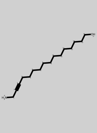 NCC#CCCCCCCCCCCCCCO